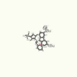 CC1=[C](/[Zr+2](=[CH]/c2ccccc2)[CH]2c3ccc(C(C)(C)C)cc3-c3cc(C(C)(C)C)ccc32)C(C)C=C1[Si](C)(C)C.[Cl-].[Cl-]